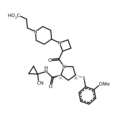 COc1ccccc1S[C@@H]1C[C@@H](C(=O)NC2(C#N)CC2)N(C(=O)C2CCN2C2CCN(CCC(=O)O)CC2)C1